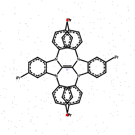 CC(C)c1ccc(N2/C(=C3/N(c4ccc(C(C)C)cc4)c4ccc(C(C)C)cc4N3c3ccc(C(C)C)cc3)N(c3ccc(C(C)C)cc3)c3cc(C(C)C)ccc32)cc1